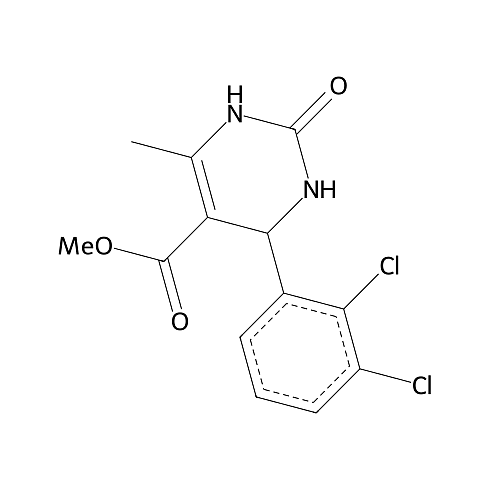 COC(=O)C1=C(C)NC(=O)NC1c1cccc(Cl)c1Cl